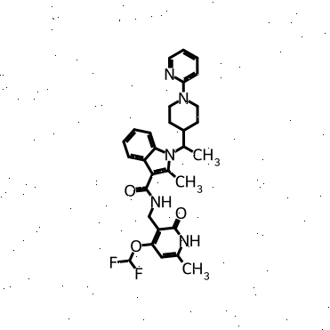 Cc1cc(OC(F)F)c(CNC(=O)c2c(C)n(C(C)C3CCN(c4ccccn4)CC3)c3ccccc23)c(=O)[nH]1